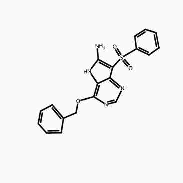 Nc1[nH]c2c(OCc3ccccc3)ncnc2c1S(=O)(=O)c1ccccc1